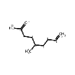 C=CCCC(C)CCC(=O)O